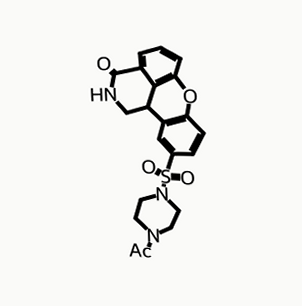 CC(=O)N1CCN(S(=O)(=O)c2ccc3c(c2)C2CNC(=O)c4cccc(c42)O3)CC1